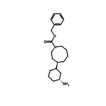 N[C@@H]1CCCC([C@@H]2CCCCN(C(=O)OCc3ccccc3)CC2)C1